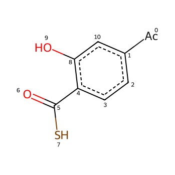 CC(=O)c1ccc(C(=O)S)c(O)c1